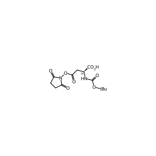 CC(C)(C)OC(=O)N[C@@H](CC(=O)ON1C(=O)CCC1=O)C(=O)O